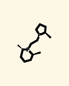 C[C@@H]1CCCP1CCP1[C@@H](C)CCC[C@@H]1C